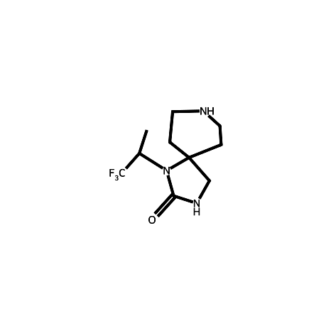 CC(N1C(=O)NCC12CCNCC2)C(F)(F)F